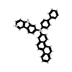 c1ccc(-c2ccc(N(c3ccc4c(ccc5c6ccccc6ccc45)c3)c3ccc4c(c3)oc3ccncc34)cc2)cc1